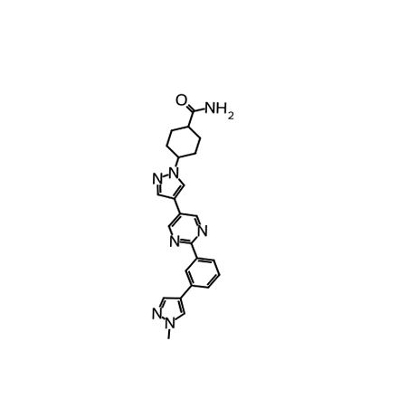 Cn1cc(-c2cccc(-c3ncc(-c4cnn(C5CCC(C(N)=O)CC5)c4)cn3)c2)cn1